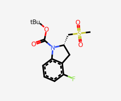 CC(C)(C)OC(=O)N1c2cccc(F)c2C[C@H]1CS(C)(=O)=O